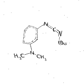 CN(C)c1cccc(N=C=NC(C)(C)C)c1